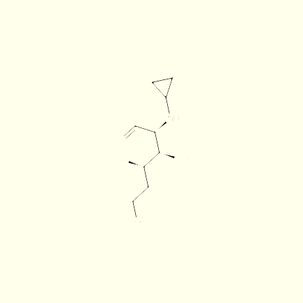 O=C[C@@H](NC1CC1)[C@@H](O)[C@H](O)[C@H](O)CO